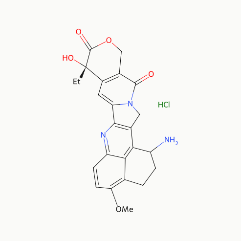 CC[C@@]1(O)C(=O)OCc2c1cc1n(c2=O)Cc2c-1nc1ccc(OC)c3c1c2C(N)CC3.Cl